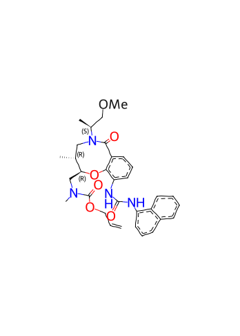 C=CCOC(=O)N(C)C[C@@H]1Oc2c(NC(=O)Nc3cccc4ccccc34)cccc2C(=O)N([C@@H](C)COC)C[C@H]1C